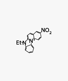 CCn1c2ccccc2[n+]2c3ccc([N+](=O)[O-])cc3ccc12